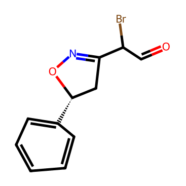 O=CC(Br)C1=NO[C@@H](c2ccccc2)C1